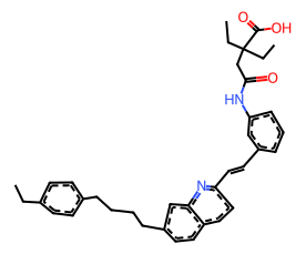 CCc1ccc(CCCCc2ccc3ccc(C=Cc4cccc(NC(=O)CC(CC)(CC)C(=O)O)c4)nc3c2)cc1